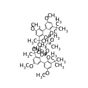 COc1cc(C(C)(C)C)c2op(O[C@H](C)C[C@@H](C)Op3oc4c(C(C)(C)C)cc(OC)cc4c4cc(OC)cc(C(C)(C)C)c4o3)oc3c(C(C)(C)C)cc(OC)cc3c2c1